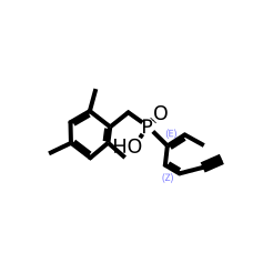 C#C/C=C\C(=C/C)P(=O)(O)Cc1c(C)cc(C)cc1C